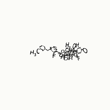 Cc1cccc(Cc2csc([C@@H]3O[C@@H]4C[C@H]5[C@@H]6C[C@H](F)C7=CC(=O)C=C[C@]7(C)[C@@]6(F)[C@@H](O)C[C@]5(C)[C@]4(C(=O)CO)O3)c2F)c1